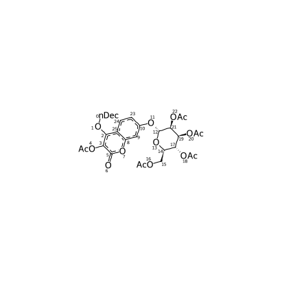 CCCCCCCCCCOc1c(OC(C)=O)c(=O)oc2cc(O[C@H]3O[C@H](COC(C)=O)[C@@H](OC(C)=O)[C@H](OC(C)=O)[C@@H]3OC(C)=O)ccc12